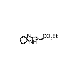 CCOC(=O)/C=C\Sc1nc2ccccc2[nH]1